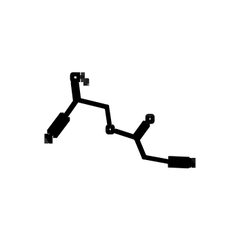 C=C(C#N)COC(=O)CC#N